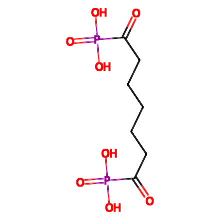 O=C(CCCCCC(=O)P(=O)(O)O)P(=O)(O)O